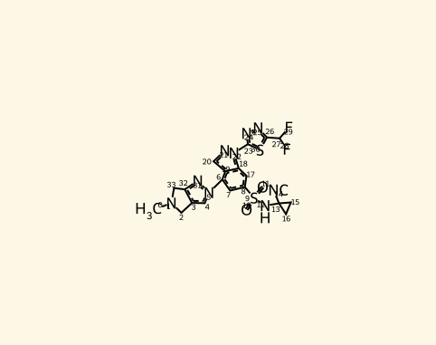 CN1Cc2cn(-c3cc(S(=O)(=O)NC4(C#N)CC4)cc4c3cnn4-c3nnc(C(F)F)s3)nc2C1